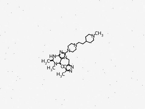 C=C1Nc2nc(N3CCN(CCC4CCN(C)CC4)CC3)n(Cc3nnc(C)o3)c2C(=O)N1C